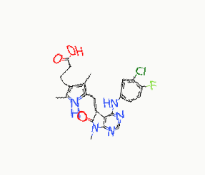 Cc1[nH]c(/C=C2\C(=O)N(C)c3ncnc(Nc4ccc(F)c(Cl)c4)c32)c(C)c1CCC(=O)O